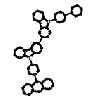 c1ccc(-c2ccc(-n3c4ccccc4c4cc(-c5ccc6c(c5)c5ccccc5n6-c5ccc(-c6c7ccccc7cc7ccccc67)cc5)ccc43)cc2)cc1